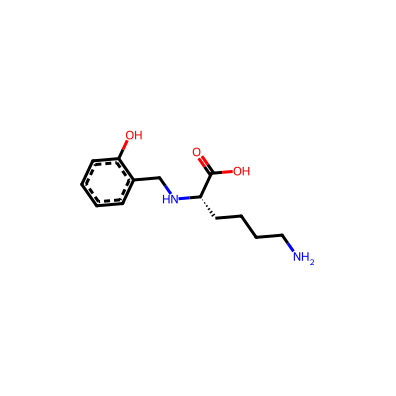 NCCCC[C@H](NCc1ccccc1O)C(=O)O